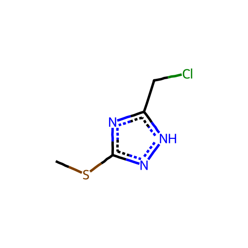 CSc1n[nH]c(CCl)n1